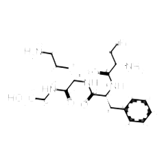 CC(C)C[C@H](N)C(=O)N[C@@H](Cc1ccccc1)C(=O)N[C@@H](CCCN)C(=O)NCC(=O)O